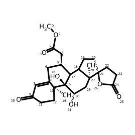 COC(=O)C[C@@H]1CC2=CC(=O)CC[C@]2(C)[C@]2(O)C1C1CC[C@@]3(CCC(=O)O3)[C@@]1(C)C[C@@H]2O